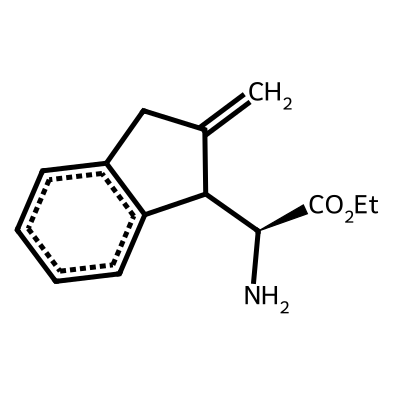 C=C1Cc2ccccc2C1[C@H](N)C(=O)OCC